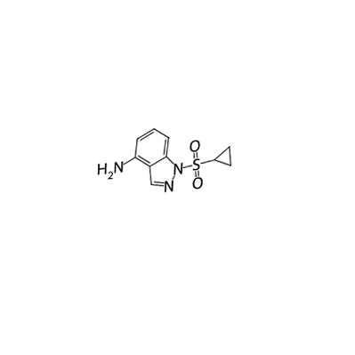 Nc1cccc2c1cnn2S(=O)(=O)C1CC1